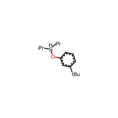 CC(C)[SiH](Oc1[c]ccc(C(C)(C)C)c1)C(C)C